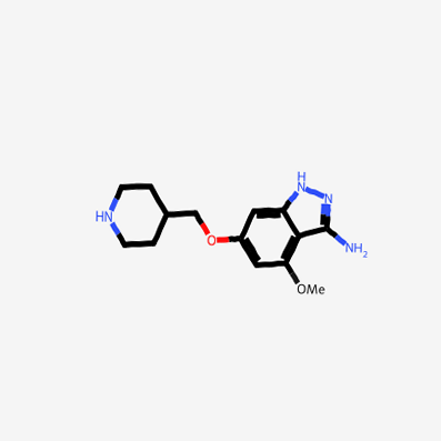 COc1cc(OCC2CCNCC2)cc2[nH]nc(N)c12